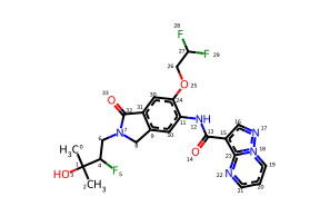 CC(C)(O)C(F)CN1Cc2cc(NC(=O)c3cnn4cccnc34)c(OCC(F)F)cc2C1=O